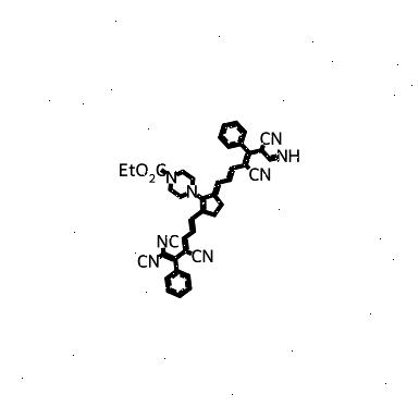 [C-]#[N+]C([N+]#[C-])=C(/C(C#N)=C/C=C/C1=C(N2CCN(C(=O)OCC)CC2)C(=C/C=C/C(C#N)=C(\c2ccccc2)C(C#N)C=N)/CC1)c1ccccc1